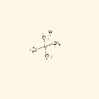 [CH2]C(C)(C)C.[W]